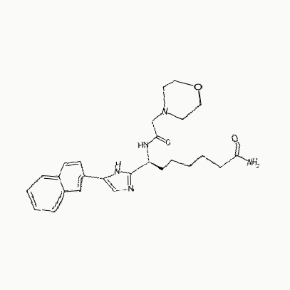 NC(=O)CCCCC[C@H](NC(=O)CN1CCOCC1)c1ncc(-c2ccc3ccccc3c2)[nH]1